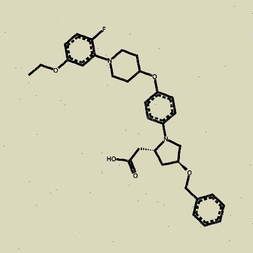 CCOc1ccc(F)c(N2CCC(Oc3ccc(N4C[C@@H](OCc5ccccc5)C[C@@H]4CC(=O)O)cc3)CC2)c1